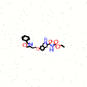 CCOC(=O)NC(=O)C1Cc2ccc(OCCc3coc(-c4ccccc4)n3)cc2CN1